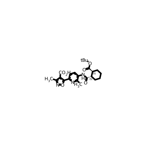 Cc1nc(-c2onc(C)c2C(=O)O)ccc1NC(=O)[C@H]1CCCC[C@@H]1C(=O)OC(C)(C)C